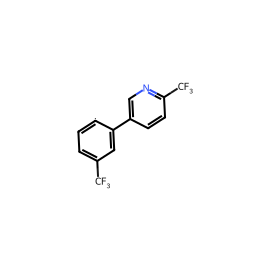 FC(F)(F)c1cc[c]c(-c2ccc(C(F)(F)F)nc2)c1